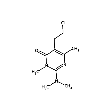 Cc1nc(N(C)C)n(C)c(=O)c1CCCl